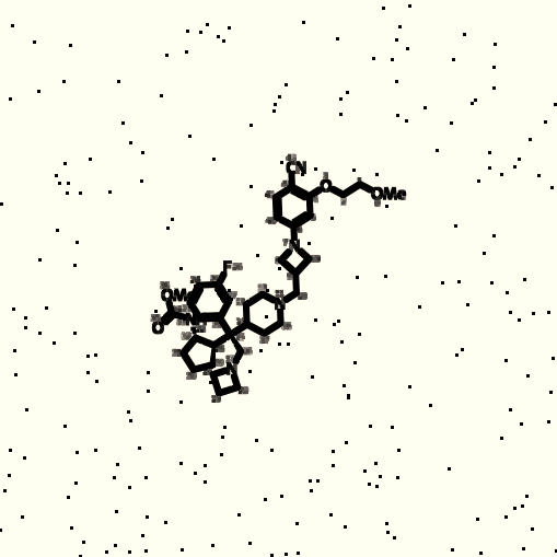 COCCOc1cc(N2CC(CN3CCC([C@@](CN4CCC4)(c4cccc(F)c4)[C@H]4CCC[C@@H]4NC(=O)OC)CC3)C2)ccc1C#N